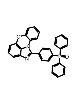 O=P(c1ccccc1)(c1ccccc1)c1ccc(-c2nc3cccc4c3n2-c2ccccc2O4)cc1